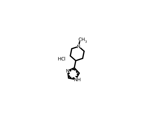 CN1CCC(c2c[nH]cn2)CC1.Cl